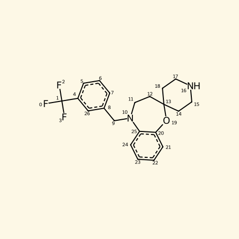 FC(F)(F)c1cccc(CN2CCC3(CCNCC3)Oc3ccccc32)c1